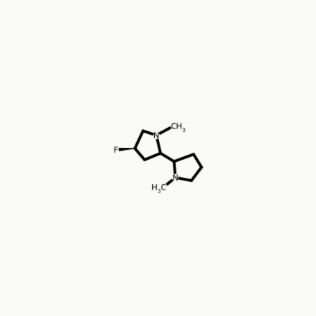 CN1CCCC1C1C[C@@H](F)CN1C